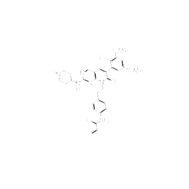 C=CC(=O)Nc1ccc(CCn2c(=O)c(-c3cc(OC)cc(OC)c3Cl)cc3cnc(NC4CCN(C)CC4)nc32)cc1